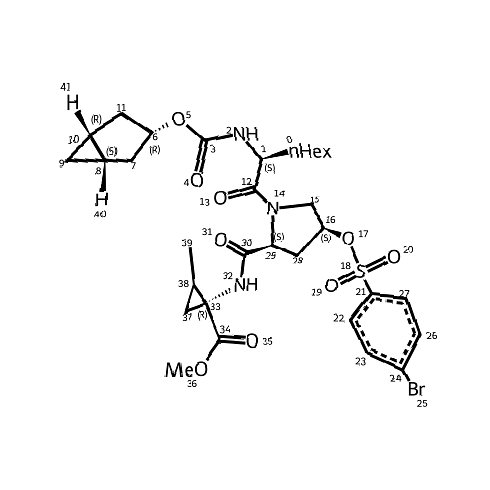 CCCCCC[C@H](NC(=O)O[C@@H]1C[C@@H]2C[C@@H]2C1)C(=O)N1C[C@@H](OS(=O)(=O)c2ccc(Br)cc2)C[C@H]1C(=O)N[C@]1(C(=O)OC)CC1C